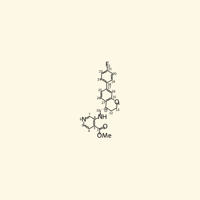 COC(=O)c1ccncc1NC[C@H]1CCOc2cc(-c3ccc(F)cc3)ccc21